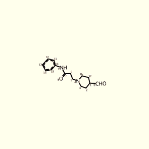 O=CC1CCN(CCC(=O)Nc2ccccc2)CC1